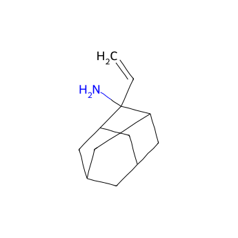 C=CC1(N)C2CC3CC(C2)CC1C3